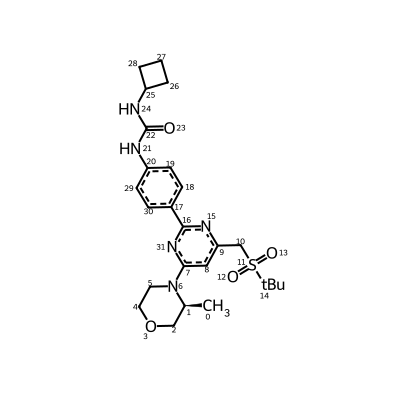 C[C@H]1COCCN1c1cc(CS(=O)(=O)C(C)(C)C)nc(-c2ccc(NC(=O)NC3CCC3)cc2)n1